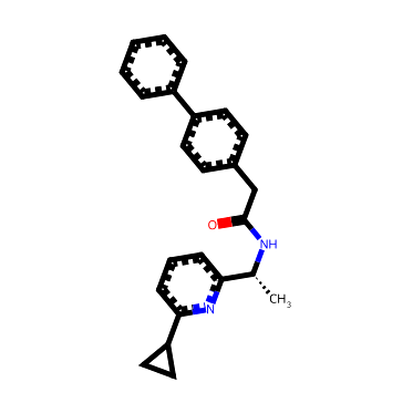 C[C@@H](NC(=O)Cc1ccc(-c2ccccc2)cc1)c1cccc(C2CC2)n1